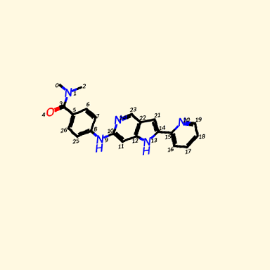 CN(C)C(=O)c1ccc(Nc2cc3[nH]c(-c4ccccn4)cc3cn2)cc1